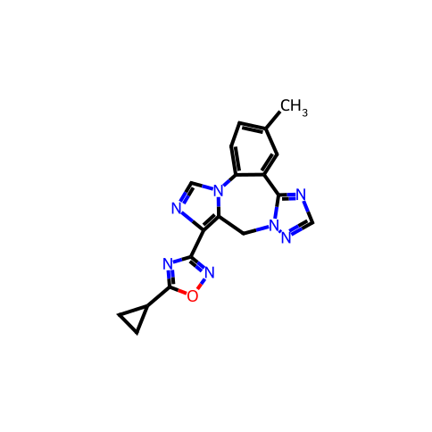 Cc1ccc2c(c1)-c1ncnn1Cc1c(-c3noc(C4CC4)n3)ncn1-2